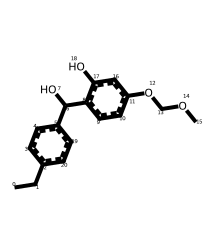 CCc1ccc(C(O)c2ccc(OCOC)cc2O)cc1